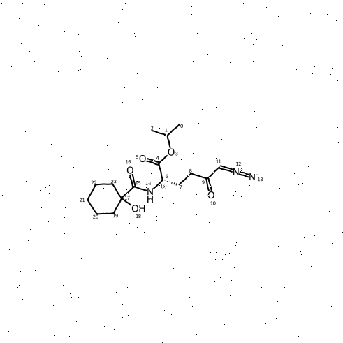 CC(C)OC(=O)[C@H](CCC(=O)C=[N+]=[N-])NC(=O)C1(O)CCCCC1